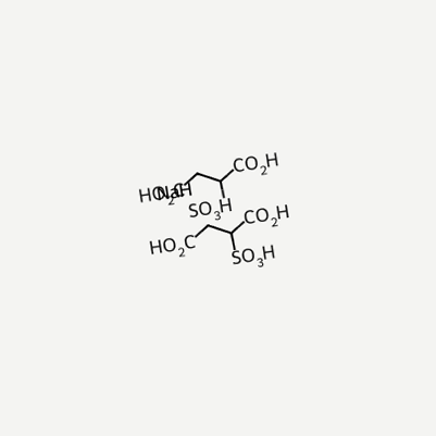 O=C(O)CC(C(=O)O)S(=O)(=O)O.O=C(O)CC(C(=O)O)S(=O)(=O)O.[NaH]